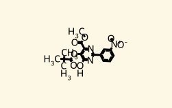 COC(=O)c1nc(-c2cccc([N+](=O)[O-])c2)nc(O)c1OC(=O)C(C)(C)C